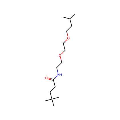 CC(C)CCOCCOCCNC(=O)CCC(C)(C)C